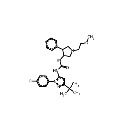 COCCN1CC(NC(=O)Nc2cc(C(C)(C)C)nn2-c2ccc(F)cc2)C(c2ccccc2)C1